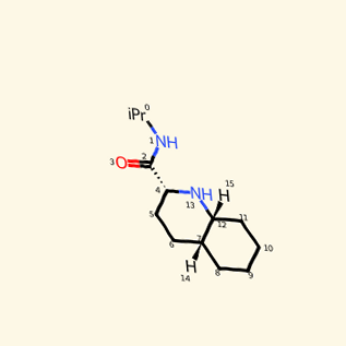 CC(C)NC(=O)[C@H]1CC[C@H]2CCCC[C@H]2N1